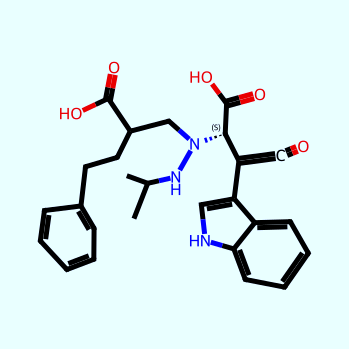 CC(C)NN(CC(CCc1ccccc1)C(=O)O)[C@H](C(=O)O)C(=C=O)c1c[nH]c2ccccc12